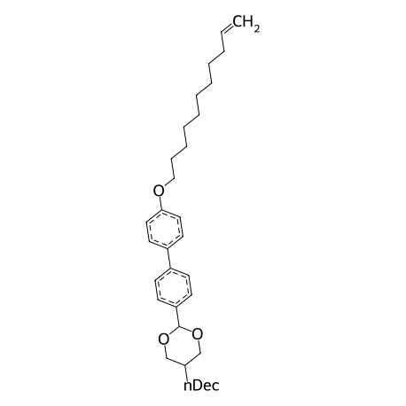 C=CCCCCCCCCCOc1ccc(-c2ccc(C3OCC(CCCCCCCCCC)CO3)cc2)cc1